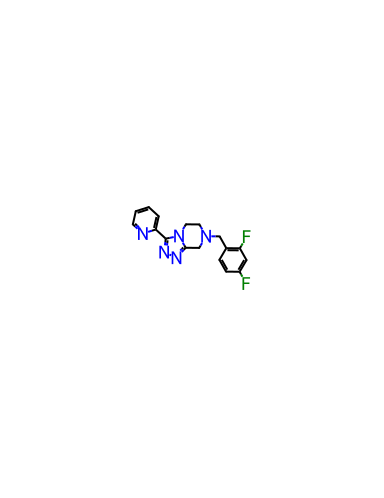 Fc1ccc(CN2CCn3c(nnc3-c3ccccn3)C2)c(F)c1